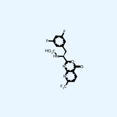 O=C(O)N[C@@H](Cc1cc(F)cc(F)c1)c1nc2nc(C(F)(F)F)ccc2c(=O)o1